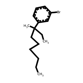 CCCCCCC(C)(CC)c1cccc(Br)c1